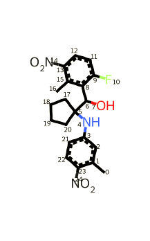 Cc1cc(NC2(C(O)c3c(F)ccc([N+](=O)[O-])c3C)CCCC2)ccc1[N+](=O)[O-]